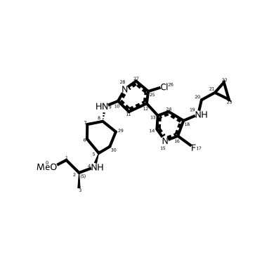 COC[C@H](C)N[C@H]1CC[C@H](Nc2cc(-c3cnc(F)c(NCC4CC4)c3)c(Cl)cn2)CC1